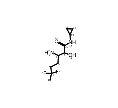 CC(F)(F)CCC(N)C(O)C(=O)NC1CC1